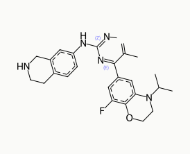 C=C(C)/C(=N\C(=N/C)Nc1ccc2c(c1)CNCC2)c1cc(F)c2c(c1)N(C(C)C)CCO2